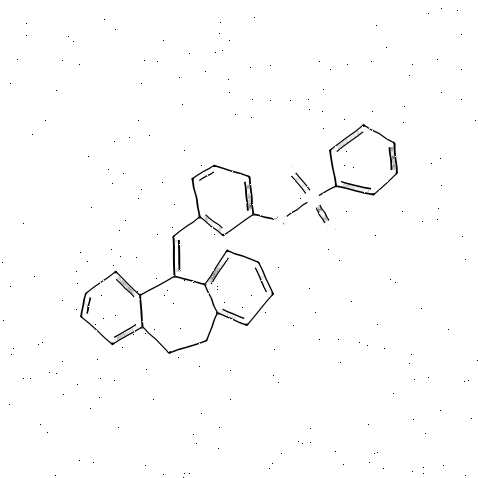 O=S(=O)(Nc1cccc(C=C2c3ccccc3CCc3ccccc32)c1)c1ccccc1